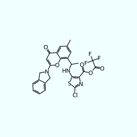 Cc1cc(C(C)Nc2sc(Cl)nc2C(=O)OC(=O)C(F)(F)F)c2oc(N3Cc4ccccc4C3)cc(=O)c2c1